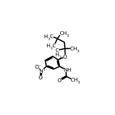 CC(=O)Nc1cc([N+](=O)[O-])ccc1OC(C)(C)CC(C)(C)C